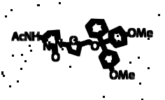 COc1ccc(C(OCC2CCC(n3ccc(NC(C)=O)nc3=O)O2)(c2ccccc2)c2ccc(OC)cc2)cc1